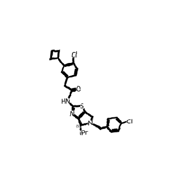 CC(C)[C@H]1c2nc(NC(=O)Cc3ccc(Cl)c(C4CCC4)c3)sc2CN1Cc1ccc(Cl)cc1